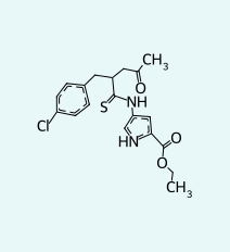 CCOC(=O)c1cc(NC(=S)C(CC(C)=O)Cc2ccc(Cl)cc2)c[nH]1